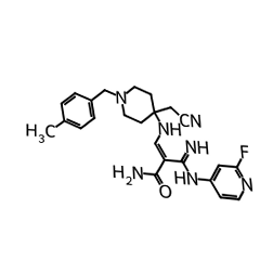 Cc1ccc(CN2CCC(CC#N)(N/C=C(\C(=N)Nc3ccnc(F)c3)C(N)=O)CC2)cc1